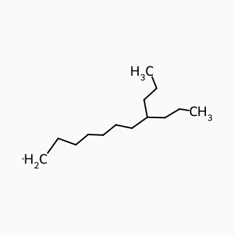 [CH2]CCCCCCC(CCC)CCC